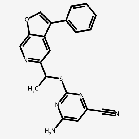 CC(Sc1nc(N)cc(C#N)n1)c1cc2c(-c3ccccc3)coc2cn1